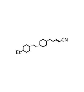 CC[C@H]1CC[C@H](CC[C@H]2CC[C@H](CC/C=C/C#N)CC2)CC1